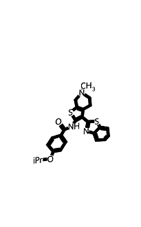 CC(C)Oc1ccc(C(=O)Nc2sc3c(c2-c2nc4ccccc4s2)CCN(C)C3)cc1